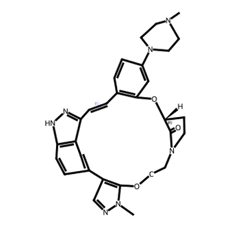 CN1CCN(c2ccc3c(c2)O[C@@H]2CCN(CCOc4c(cnn4C)-c4ccc5[nH]nc(c5c4)/C=C/3)C2=O)CC1